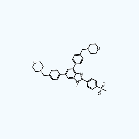 Cn1c(-c2ccc(S(C)(=O)=O)cc2)nc2c(-c3ccc(CN4CCOCC4)cc3)cc(-c3ccc(CN4CCOCC4)cc3)cc21